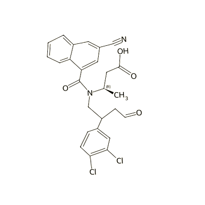 C[C@H](CC(=O)O)N(CC(CC=O)c1ccc(Cl)c(Cl)c1)C(=O)c1cc(C#N)cc2ccccc12